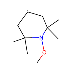 CON1C(C)(C)C[CH]CC1(C)C